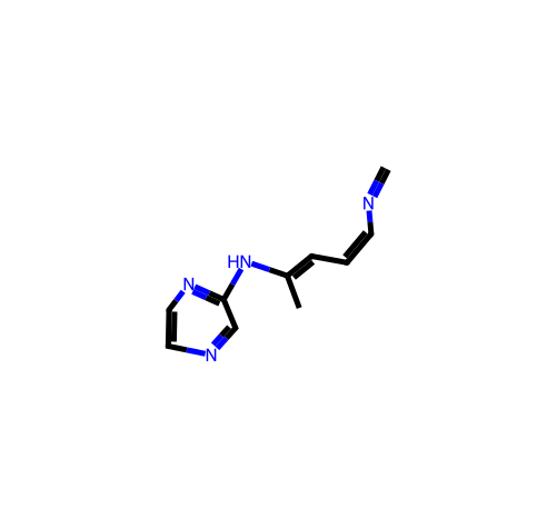 C=N/C=C\C=C(/C)Nc1cnccn1